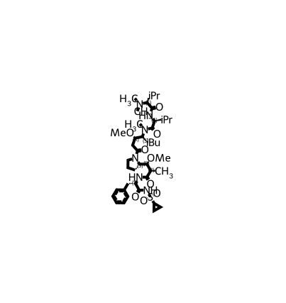 CC[C@H](C)C([C@@H](CC(=O)N1CCC[C@H]1[C@H](OC)[C@@H](C)C(=O)N[C@@H](Cc1ccccc1)C(=O)NS(=O)(=O)C1CC1)OC)N(C)C(=O)[C@@H](NC(=O)[C@H](C(C)C)N(C)C)C(C)C